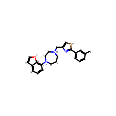 Cc1cccc(-c2nc(CN3CCCN(c4cccc5ccoc45)CC3)cs2)c1